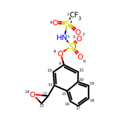 O=S(=O)(NS(=O)(=O)C(F)(F)F)Oc1cc(C2CO2)c2ccccc2c1